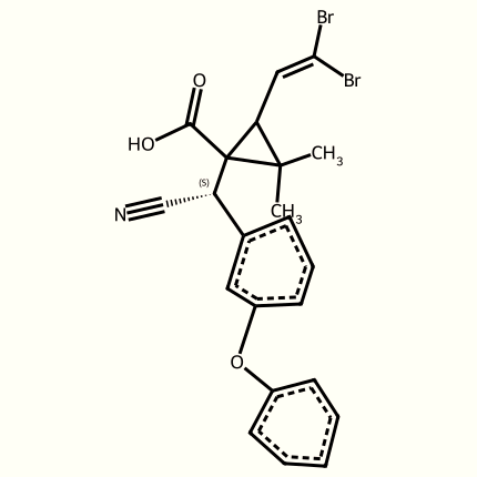 CC1(C)C(C=C(Br)Br)C1(C(=O)O)[C@@H](C#N)c1cccc(Oc2ccccc2)c1